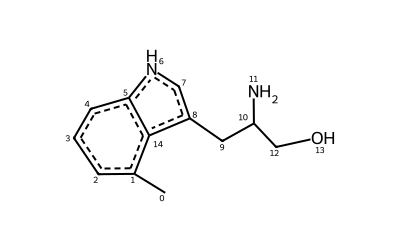 Cc1cccc2[nH]cc(CC(N)CO)c12